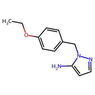 CCOc1ccc(Cn2nccc2N)cc1